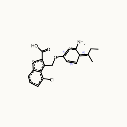 C\C=C(/C=C\C(C(N)=O)=C(/C)CC)OCc1c(C(=O)O)sc2cccc(Cl)c12